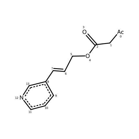 CC(=O)CC(=O)OCC=Cc1cccnc1